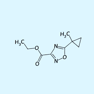 CCOC(=O)c1noc(C2(C)CC2)n1